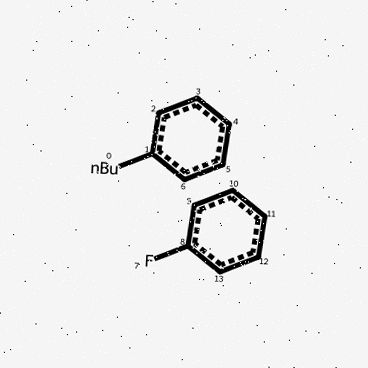 CCCCc1ccccc1.Fc1ccccc1